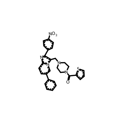 O=C(c1cccs1)N1CCN(Cc2c(-c3ccc([N+](=O)[O-])cc3)nc3ccc(-c4ccccc4)cn23)CC1